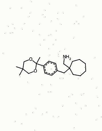 CC1(C)COC(C)(c2ccc(CC3(CN)CCCCCC3)cc2)OC1